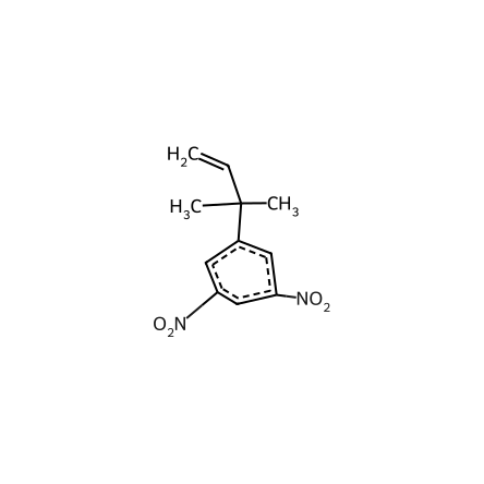 C=CC(C)(C)c1cc([N+](=O)[O-])cc([N+](=O)[O-])c1